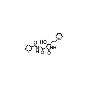 O=C(CNC(=O)c1cccnc1)C1=C(O)C(CCc2ccccc2)NC1=O